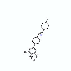 CC1CCC(/C=C/C2CCC(c3cc(F)c(C(F)(F)F)c(F)c3)CC2)CC1